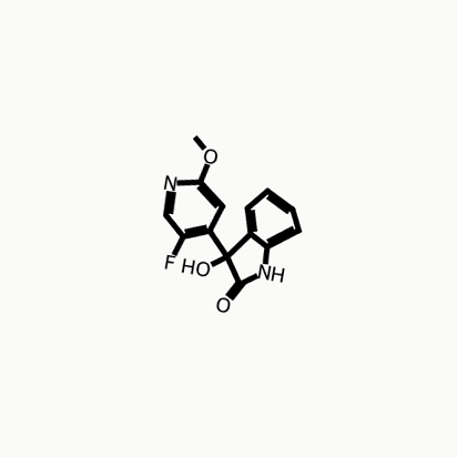 COc1cc(C2(O)C(=O)Nc3ccccc32)c(F)cn1